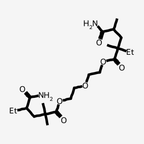 CCC(CC(C)(C)C(=O)OCCOCCOC(=O)C(C)(CC)CC(C)C(N)=O)C(N)=O